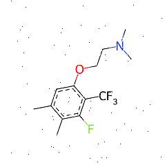 Cc1cc(OCCN(C)C)c(C(F)(F)F)c(F)c1C